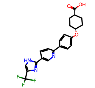 O=C(O)[C@H]1CC[C@H](Oc2ccc(-c3ccc(-c4nc(C(F)(F)F)c[nH]4)cn3)cc2)CC1